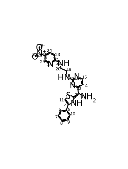 N/C(=C1\NC(c2ccccc2)=CS1)c1ccnc(NCCNc2ccc([N+](=O)[O-])cn2)n1